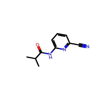 CC(C)C(=O)Nc1cccc(C#N)n1